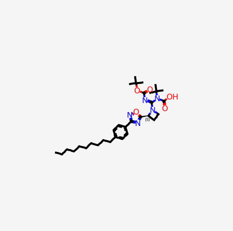 CCCCCCCCCCc1ccc(-c2noc([C@@H]3CCN3C(=NC(=O)OC(C)(C)C)N(C(=O)O)C(C)(C)C)n2)cc1